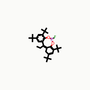 CC/C1=C2\CC(C(C)(C)C)=CC(C(C)(C)C)=C2OP(F)Oc2c1cc(C(C)(C)C)cc2C(C)(C)C